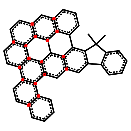 CC1(C)c2ccccc2-c2cccc(-c3ccccc3N(c3ccccc3-c3ccc(-c4ccccc4)cc3)c3cccc(-c4ccccc4)c3-c3ccccc3-c3ccccc3)c21